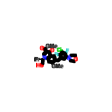 COC(=O)c1cn([C@H](CO)C(C)C)c2cc(OC)c(Cc3cc(N4CCOCC4)c(F)c(Cl)c3F)cc2c1=O